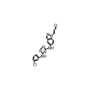 O=CC=Cn1ncc2cc(Nc3ncnc(Nc4cccc(Cl)c4)n3)ccc21